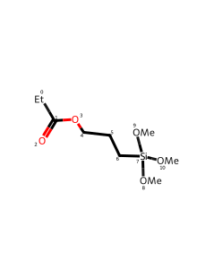 CCC(=O)OCCC[Si](OC)(OC)OC